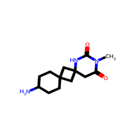 CN1C(=O)CC2(CC3(CCC(N)CC3)C2)NC1=O